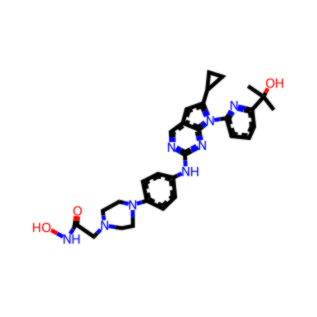 CC(C)(O)c1cccc(-n2c(C3CC3)cc3cnc(Nc4ccc(N5CCN(CC(=O)NO)CC5)cc4)nc32)n1